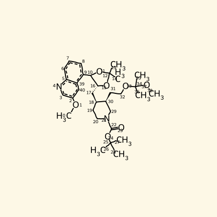 COc1cnc2cccc(C3OC(C)(C)O[C@@H]3C[C@@H]3CCN(C(=O)OC(C)(C)C)C[C@@H]3CCOC(C)(C)OC)c2c1